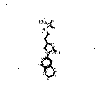 CC(C)(C)[Si](C)(C)OCCC1CN(c2cc3c(cn2)OCCO3)C(=O)O1